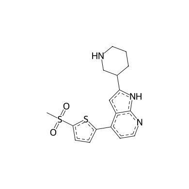 CS(=O)(=O)c1ccc(-c2ccnc3[nH]c(C4CCCNC4)cc23)s1